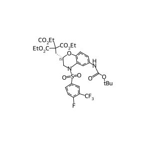 CCOC(=O)C(C[C@H]1CN(S(=O)(=O)c2ccc(F)c(C(F)(F)F)c2)c2cc(NC(=O)OC(C)(C)C)ccc2O1)(C(=O)OCC)C(=O)OCC